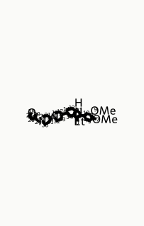 CCc1c(-c2ccc(OC)c(OC)c2)[nH]c2ccc(C3CCN(C4CCN(Cc5ccoc5)CC4)CC3)cc12